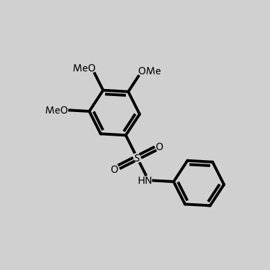 COc1cc(S(=O)(=O)Nc2ccccc2)cc(OC)c1OC